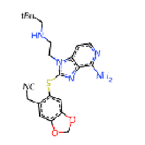 [C-]#[N+]Cc1cc2c(cc1Sc1nc3c(N)nccc3n1CCNCC(C)(C)C)OCO2